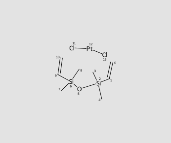 C=C[Si](C)(C)O[Si](C)(C)C=C.[Cl][Pt][Cl]